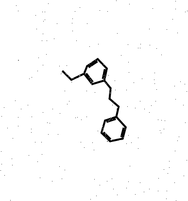 CCc1cccc(CCCc2cc[c]cc2)c1